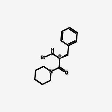 CCN[C@@H](Cc1ccccc1)C(=O)N1CCCCC1